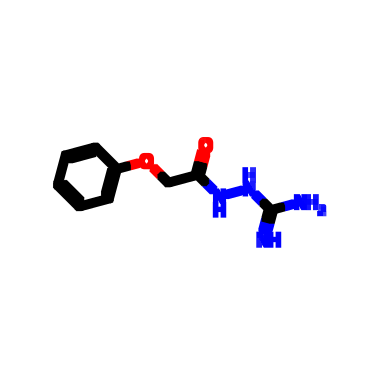 N=C(N)NNC(=O)COc1ccccc1